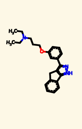 CCN(CC)CCCOc1cccc(-c2n[nH]c3c2Cc2ccccc2-3)c1